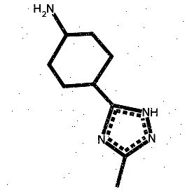 Cc1n[nH]c(C2CCC(N)CC2)n1